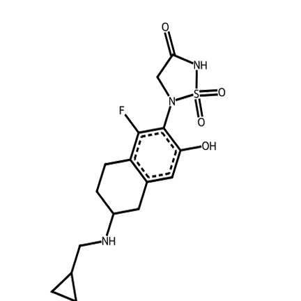 O=C1CN(c2c(O)cc3c(c2F)CCC(NCC2CC2)C3)S(=O)(=O)N1